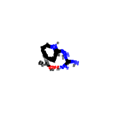 N=C(N)Nc1ccccn1.O=[N+]([O-])O